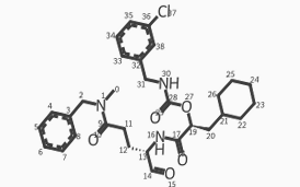 CN(Cc1ccccc1)C(=O)CC[C@@H](C=O)NC(=O)[C@H](CC1CCCCC1)OC(=O)NCc1cccc(Cl)c1